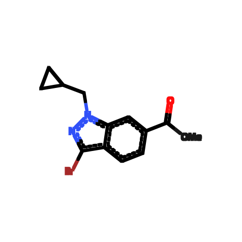 COC(=O)c1ccc2c(Br)nn(CC3CC3)c2c1